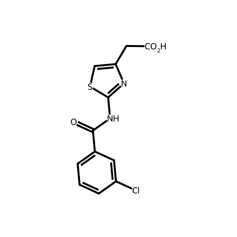 O=C(O)Cc1csc(NC(=O)c2cccc(Cl)c2)n1